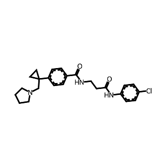 O=C(CCNC(=O)c1ccc(C2(CN3CCCC3)CC2)cc1)Nc1ccc(Cl)cc1